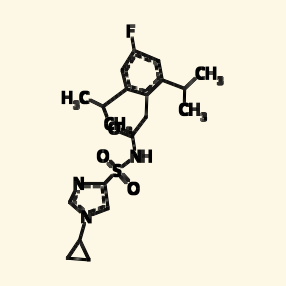 CC(C)c1cc(F)cc(C(C)C)c1CC(=O)NS(=O)(=O)c1cn(C2CC2)cn1